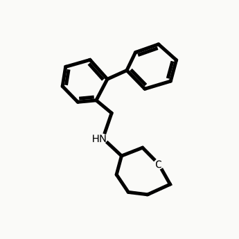 c1ccc(-c2ccccc2CNC2CCCCCC2)cc1